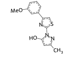 COc1cccc(-c2csc(-n3nc(C)cc3O)n2)c1